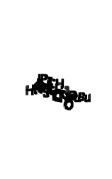 Cc1c(C2CCN(C(=O)OC(C)(C)C)CC2)sc2[nH]cc(C(C)C)c12